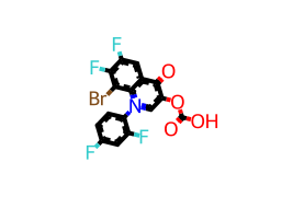 O=C(O)Oc1cn(-c2ccc(F)cc2F)c2c(Br)c(F)c(F)cc2c1=O